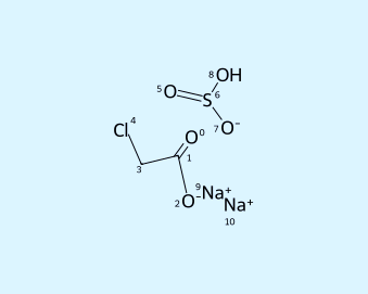 O=C([O-])CCl.O=S([O-])O.[Na+].[Na+]